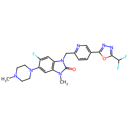 CN1CCN(c2cc3c(cc2F)n(Cc2ccc(-c4nnc(C(F)F)o4)cn2)c(=O)n3C)CC1